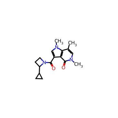 Cc1cn(C)c(=O)c2c(C(=O)N3CCC3C3CC3)cn(C)c12